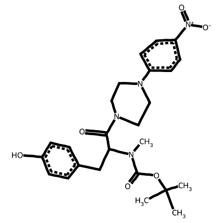 CN(C(=O)OC(C)(C)C)C(Cc1ccc(O)cc1)C(=O)N1CCN(c2ccc([N+](=O)[O-])cc2)CC1